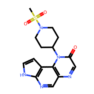 CS(=O)(=O)N1CCC(n2c(=O)cnc3cnc4[nH]ccc4c32)CC1